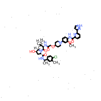 COc1cc(N2CCC(OCC(=O)N[C@H](C(=O)N3C[C@H](O)C[C@H]3C(=O)N[C@H](C)c3ccc(Cl)c(C)c3)C(C)(C)C)CC2)ccc1NC(=O)c1cccc(-c2cc[nH]n2)n1